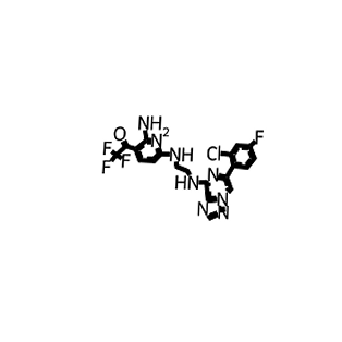 Nc1nc(NCCNc2nc(-c3ccc(F)cc3Cl)cn3ncnc23)ccc1C(=O)C(F)(F)F